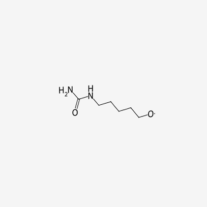 NC(=O)NCCCCC[O]